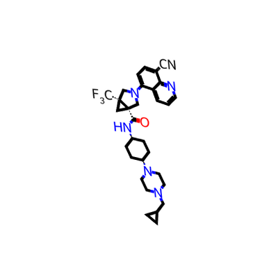 N#Cc1ccc(N2C[C@@]3(C(=O)N[C@H]4CC[C@@H](N5CCN(CC6CC6)CC5)CC4)C[C@@]3(C(F)(F)F)C2)c2cccnc12